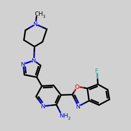 CN1CCC(n2cc(-c3cnc(N)c(-c4nc5cccc(F)c5o4)c3)cn2)CC1